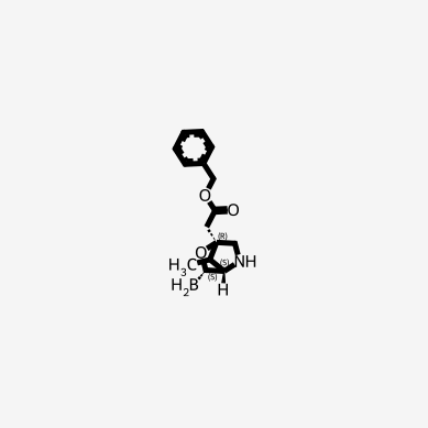 B[C@@H]1O[C@@]2(CC(=O)OCc3ccccc3)CN[C@H]1C2C